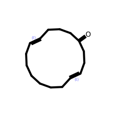 O=C1CC/C=C/CCCCCC/C=C/CCC1